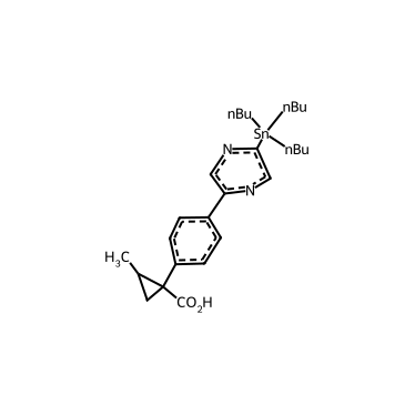 CCC[CH2][Sn]([CH2]CCC)([CH2]CCC)[c]1cnc(-c2ccc(C3(C(=O)O)CC3C)cc2)cn1